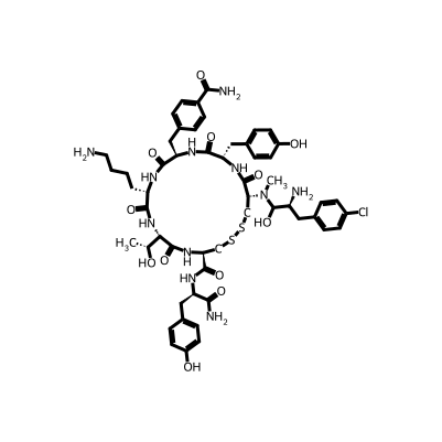 C[C@@H](O)[C@@H]1NC(=O)[C@H](CCCCN)NC(=O)[C@@H](Cc2ccc(C(N)=O)cc2)NC(=O)[C@H](Cc2ccc(O)cc2)NC(=O)[C@H](N(C)C(O)[C@@H](N)Cc2ccc(Cl)cc2)CSSC[C@@H](C(=O)N[C@H](Cc2ccc(O)cc2)C(N)=O)NC1=O